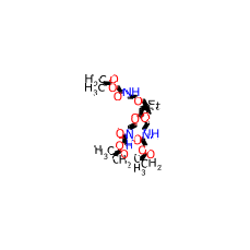 C=C(C)C(=O)OCC(=O)NCCOCCC(CC)(COCCNC(=O)COC(=O)C(=C)C)COCCNC(=O)COC(=O)C(=C)C